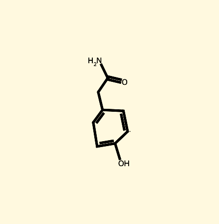 NC(=O)Cc1c[c]c(O)cc1